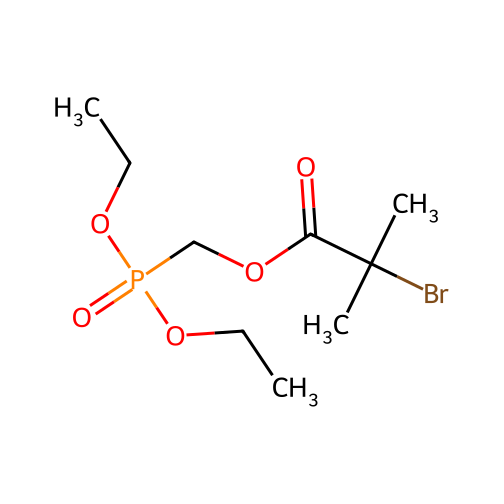 CCOP(=O)(COC(=O)C(C)(C)Br)OCC